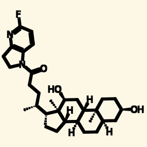 C[C@H](CCC(=O)N1CCc2nc(F)ccc21)[C@H]1CC[C@H]2[C@@H]3CC[C@@H]4C[C@H](O)CC[C@]4(C)[C@H]3C[C@H](O)[C@]12C